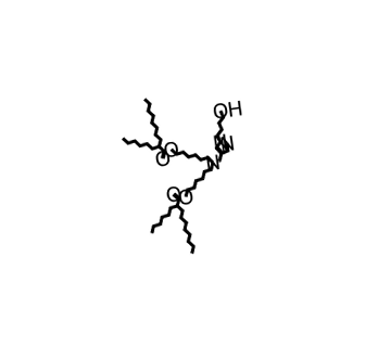 CCCCCCCCC(CCCCCC)C(=O)OCCCCCCN(CCCCCCOC(=O)C(CCCCCC)CCCCCCCC)Cc1cnn(CCCCO)c1